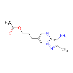 CC(=O)OCCCc1cnc2c(N)c(C)nn2c1